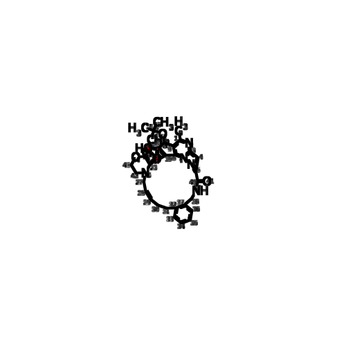 Cc1nc2cc3nn2c(c1[C@H](OC(C)(C)C)C(=O)O)-c1ccc2c(c1Cl)N(CC=CCCc1ccccc1CNC3=O)CCO2